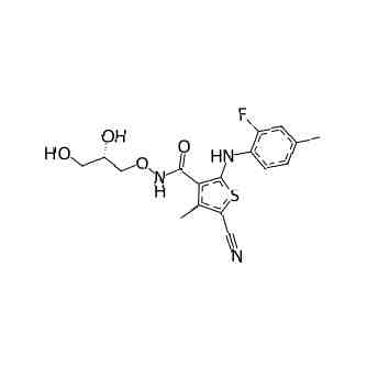 Cc1ccc(Nc2sc(C#N)c(C)c2C(=O)NOC[C@@H](O)CO)c(F)c1